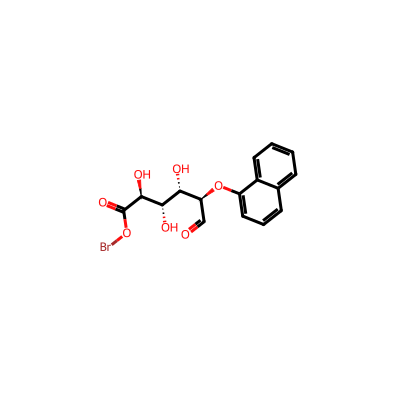 O=C[C@H](Oc1cccc2ccccc12)[C@@H](O)[C@H](O)[C@H](O)C(=O)OBr